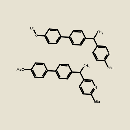 CCCCc1ccc(C(C)c2ccc(-c3ccc(OC)cc3)cc2)cn1.CCCCc1ccc(C(C)c2ccc(-c3ccc(OCC)cc3)cc2)cn1